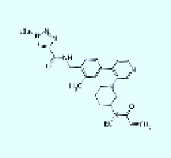 C=CC(=O)N(CC)C1CCCN(c2cnccc2-c2ccc(CNC(=O)c3cn(C(C)(C)C)nn3)c(C)c2)C1